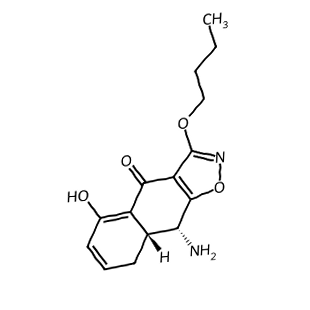 CCCCOc1noc2c1C(=O)C1=C(O)C=CC[C@H]1[C@H]2N